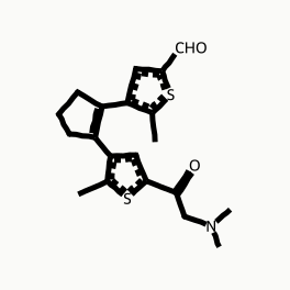 Cc1sc(C=O)cc1C1=C(c2cc(C(=O)CN(C)C)sc2C)CCC1